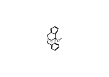 COC12c3ccccc3CC(Cc3ccccc31)N2C